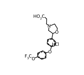 Cl.O=C(O)CCN1CCOC(c2ccc(Oc3ccc(OC(F)(F)F)cc3)cc2)C1